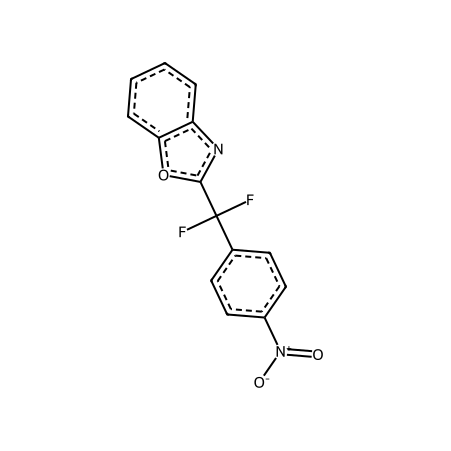 O=[N+]([O-])c1ccc(C(F)(F)c2nc3ccccc3o2)cc1